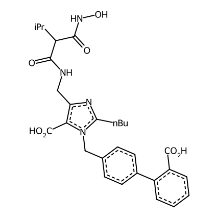 CCCCc1nc(CNC(=O)C(C(=O)NO)C(C)C)c(C(=O)O)n1Cc1ccc(-c2ccccc2C(=O)O)cc1